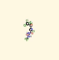 O=C(CNC(=O)c1ccc(C2=CC(c3cc(Cl)cc(Cl)c3)(C(F)(F)F)OC2)nc1Cl)NCC(F)(F)F